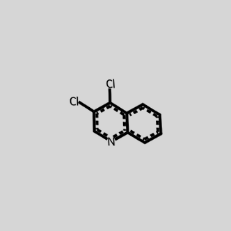 Clc1cnc2ccccc2c1Cl